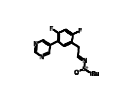 CC(C)(C)[S+]([O-])/N=C/Cc1cc(-c2cncnc2)c(F)cc1F